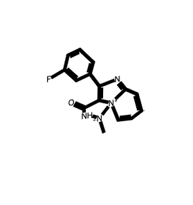 CN(C)[N+]12C=C[C]=CC1=NC(c1cccc(F)c1)=C2C(N)=O